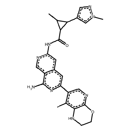 Cc1c(-c2cc3cc(NC(=O)C4C(C)C4c4cnn(C)c4)ncc3c(N)n2)cnc2c1NCCO2